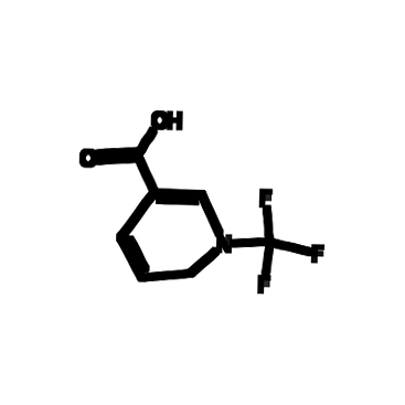 O=C(O)C1=CN(C(F)(F)F)CC=C1